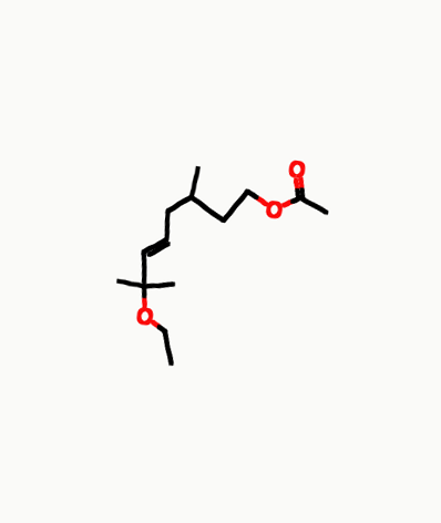 CCOC(C)(C)/C=C/CC(C)CCOC(C)=O